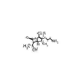 C[C@@H](O)[C@H]1C(=O)N2C(C(=O)O)=C(SCCN)[C@H](C)[C@H]12